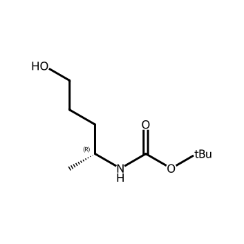 C[C@H](CCCO)NC(=O)OC(C)(C)C